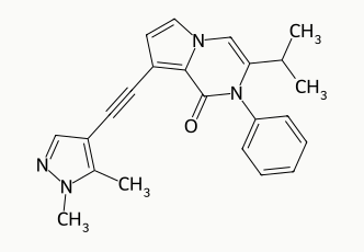 Cc1c(C#Cc2ccn3cc(C(C)C)n(-c4ccccc4)c(=O)c23)cnn1C